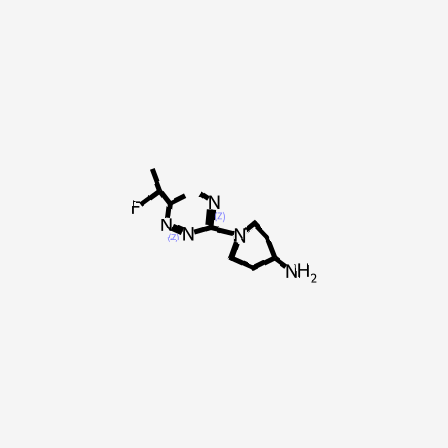 C/N=C(\N=N/C(C)C(C)F)N1CCC(N)CC1